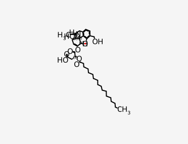 CCCCCCCCCCCCCCCCCC(=O)O[C@@H](CC(=O)O)C(=O)OC1=CC[C@@]2(O)[C@H]3Cc4ccc(CO)c5c4[C@@]2(CCN3C)[C@H]1O5